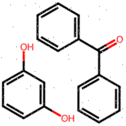 O=C(c1ccccc1)c1ccccc1.Oc1cccc(O)c1